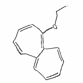 [CH2]COC1=C2C=CC=CC=C2C=CC=C1